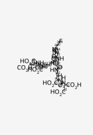 O=C(O)CCC(NC(=O)N[C@@H](CCCCNC(=O)CC[C@H](NC(=O)Cn1cc(CCCF)nn1)C(=O)NCCCC[C@H](NC(=O)NC(CCC(=O)O)C(=O)O)C(=O)O)C(=O)O)C(=O)O